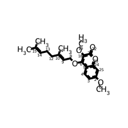 COc1ccc2c(OC/C=C(\C)CCC=C(C)C)c(OC)c(=O)oc2c1